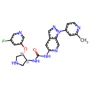 Cc1cc(-n2ncc3cc(NC(=O)N[C@H]4CNC[C@@H]4Oc4cncc(F)c4)ncc32)ccn1